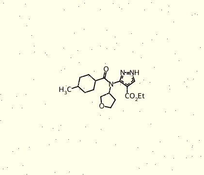 CCOC(=O)c1c[nH]nc1N(C(=O)C1CCC(C)CC1)C1CCOC1